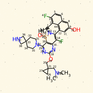 C#Cc1c(F)ccc2cc(O)cc(C3=C(F)c4nc(OCC5(CN(C)C)CC5)nc(N5CCC6(CC5)CNC6)c4[S+]([O-])N3C)c12